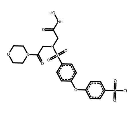 CS(=O)(=O)c1ccc(Oc2ccc(S(=O)(=O)N(CC(=O)NO)CC(=O)N3CCOCC3)cc2)cc1